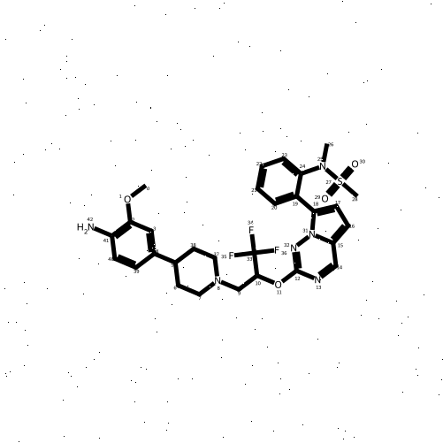 COc1cc(C2CCN(CC(Oc3ncc4ccc(-c5ccccc5N(C)S(C)(=O)=O)n4n3)C(F)(F)F)CC2)ccc1N